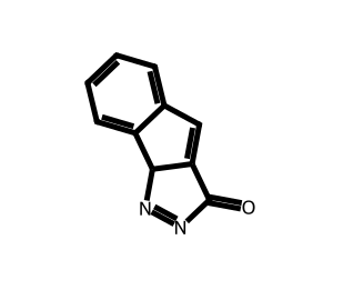 O=C1N=NC2C1=Cc1ccccc12